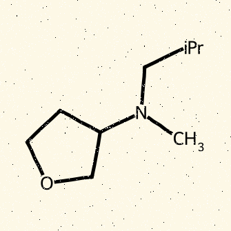 CC(C)CN(C)C1CCOC1